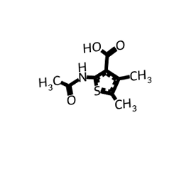 CC(=O)Nc1sc(C)c(C)c1C(=O)O